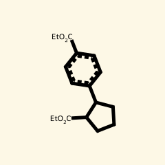 CCOC(=O)c1ccc(C2CCCC2C(=O)OCC)cc1